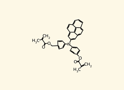 C=C(C)C(=O)OCc1ccc(N(c2ccc(OC(=O)C(=C)C)cc2)c2cc3ccc4cccc5ccc(c2)c3c45)cc1